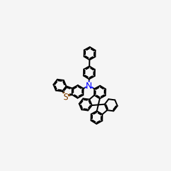 C1=CC2=C(CC1)C1(c3ccccc32)c2ccccc2-c2c(N(c3ccc(-c4ccccc4)cc3)c3ccc4sc5ccccc5c4c3)cccc21